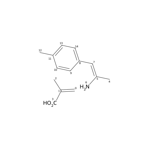 C=C(C)C(=O)O.CC(N)=Cc1ccc(C)cc1